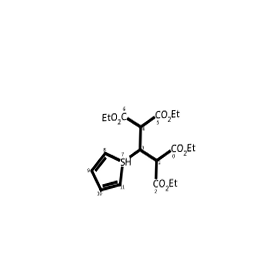 CCOC(=O)C(C(=O)OCC)C(C(C(=O)OCC)C(=O)OCC)[SH]1C=CC=C1